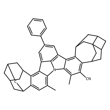 Cc1cc2c(c3c4cc(-c5ccccc5)cc5c6c7c(c(C#N)c(C)c6n(c13)c45)C1CC3CC4CC7CC34C1)C1CC3CC(CC2C3)C1